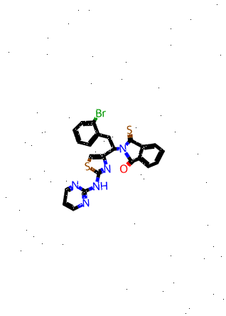 O=C1c2ccccc2C(=S)N1C(Cc1ccccc1Br)c1csc(Nc2ncccn2)n1